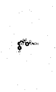 CSc1ccc(-c2ccc(C=C3SC(=S)N(C4CCCC(C(=O)OCCO)C4)C3=O)o2)cc1